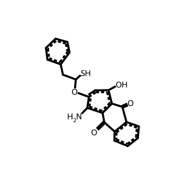 Nc1c(OC(S)Cc2ccccc2)cc(O)c2c1C(=O)c1ccccc1C2=O